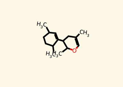 CC1=COC(C)C(C2=CC(C)CCC2C)C1